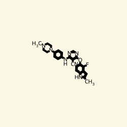 Cc1cc2c(F)c(Oc3ncnc(Nc4ccc(N5CCN(C)CC5)cc4)c3C#N)ccc2[nH]1